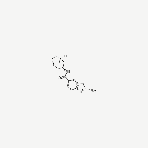 C#Cc1cn2cc(C(=O)N[C@@H]3C[C@@H]4CCN(C4)C3)ccc2n1